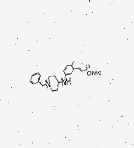 COC(=O)C=Cc1cc(NC2CCN(Cc3ccccc3)CC2)ccc1C